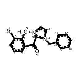 Cc1c(Br)cccc1C(=O)c1nccn1Cc1ccccc1